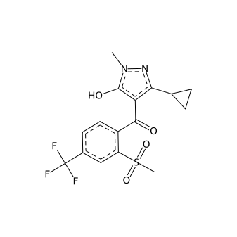 Cn1nc(C2CC2)c(C(=O)c2ccc(C(F)(F)F)cc2S(C)(=O)=O)c1O